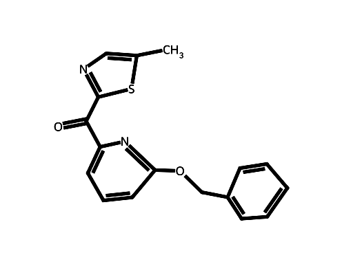 Cc1cnc(C(=O)c2cccc(OCc3ccccc3)n2)s1